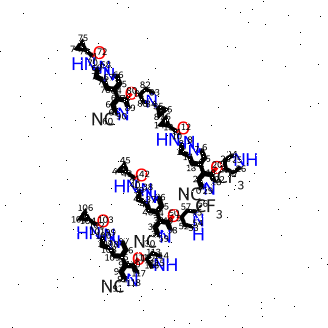 N#Cc1cc(-c2ccn3nc(NC(=O)C4CC4)cc3c2)c(OC2(C(F)(F)F)CCNCC2)cn1.N#Cc1cc(-c2ccn3nc(NC(=O)C4CC4)cc3c2)c(O[C@@H]2CCN[C@H](C(F)(F)F)C2)cn1.N#Cc1cc(-c2ccn3nc(NC(=O)C4CC4)cc3c2)c(O[C@H]2CCN(C3CC3)C2)cn1.N#Cc1cc(-c2ccn3nc(NC(=O)C4CC4)cc3c2)c(O[C@H]2CCNC2)cn1